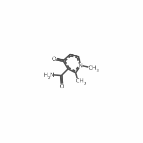 Cc1c(C(N)=O)c(=O)ccn1C